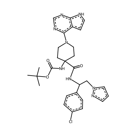 CC(C)(C)OC(=O)NC1(C(=O)NC(Cn2cccn2)c2ccc(Cl)cc2)CCN(c2ncnc3[nH]ccc23)CC1